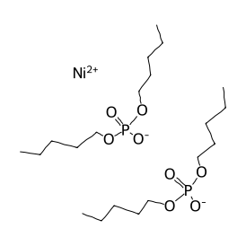 CCCCCOP(=O)([O-])OCCCCC.CCCCCOP(=O)([O-])OCCCCC.[Ni+2]